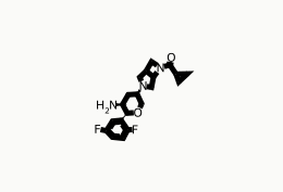 N[C@H]1C[C@@H](N2CC3CN(C(=O)C4CC4)C3C2)CO[C@@H]1c1cc(F)ccc1F